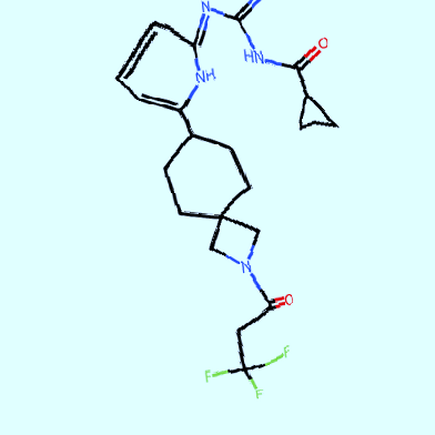 N=C(/N=c1/cccc(C2CCC3(CC2)CN(C(=O)CC(F)(F)F)C3)[nH]1)NC(=O)C1CC1